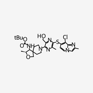 Cc1cn2ccc(Sc3nc(CO)c(N4CCC5(CC4)CO[C@@H](C)[C@H]5NC(=O)OC(C)(C)C)nc3C)c(Cl)c2n1